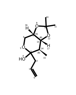 C=CCC1(O)OC[C@@H]2OC(C)(C)O[C@@H]2[C@H]1C